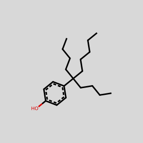 CCCCCC(CCCC)(CCCC)c1ccc(O)cc1